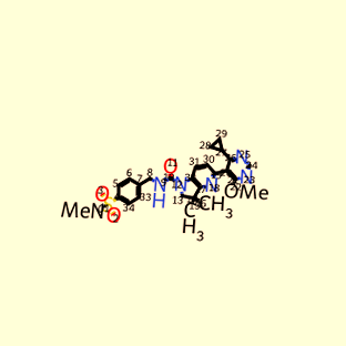 CNS(=O)(=O)c1ccc(CNC(=O)N2CC(C)(C)c3nc(-c4c(OC)ncnc4C4CC4)ccc32)cc1